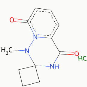 CN1n2c(cccc2=O)C(=O)NC12CCC2.Cl